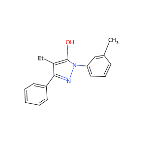 CCc1c(-c2ccccc2)nn(-c2cccc(C)c2)c1O